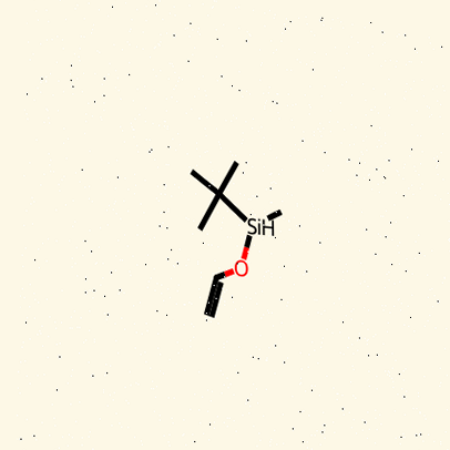 C=CO[SiH](C)C(C)(C)C